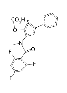 CN(C(=O)c1c(F)cc(F)cc1F)c1cc(-c2ccccc2)sc1OC(=O)O